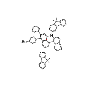 CC(C)(C)c1ccc(-c2ccc(N(c3ccc4c(c3)-c3ccccc3C4(C)C)c3ccc4ccccc4c3-c3cccc(-c4ccc5c(c4)C(C)(C)c4ccccc4-5)c3)cc2-c2ccccc2)cc1